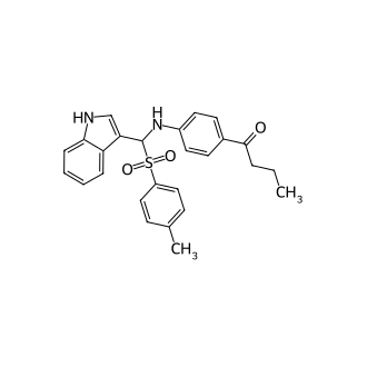 CCCC(=O)c1ccc(NC(c2c[nH]c3ccccc23)S(=O)(=O)c2ccc(C)cc2)cc1